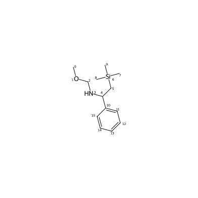 COCNC(C[Si](C)(C)C)c1ccccc1